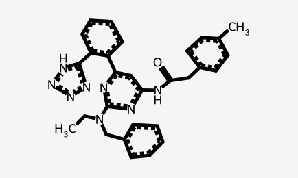 CCN(Cc1ccccc1)c1nc(NC(=O)Cc2ccc(C)cc2)cc(-c2ccccc2-c2nnn[nH]2)n1